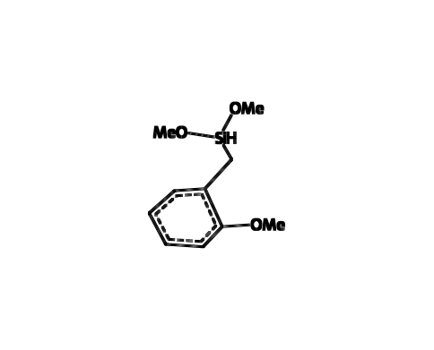 COc1ccccc1C[SiH](OC)OC